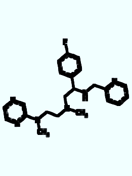 CN(CCN(C)c1cnccn1)CC(NCc1ccccn1)c1ccc(F)cc1